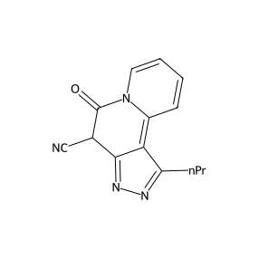 CCCC1=NN=C2C1=C1C=CC=CN1C(=O)C2C#N